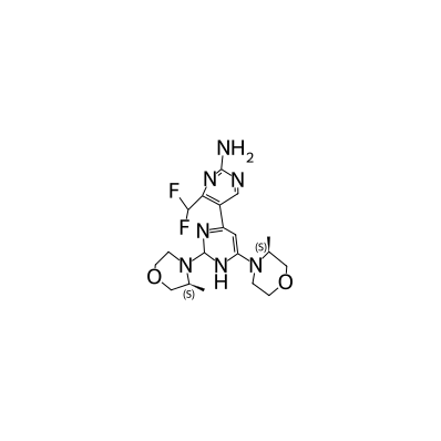 C[C@H]1COCCN1C1=CC(c2cnc(N)nc2C(F)F)=NC(N2CCOC[C@@H]2C)N1